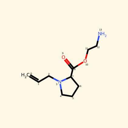 C=CCN1CCCC1C(=O)OCCN